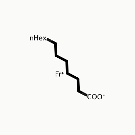 CCCCCCCCCCCCC(=O)[O-].[Fr+]